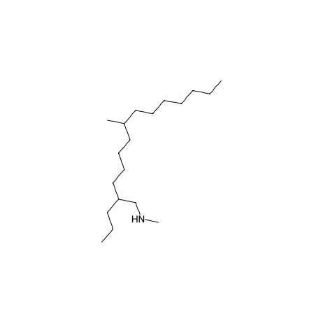 CCCCCCCC(C)CCCCC(CCC)CNC